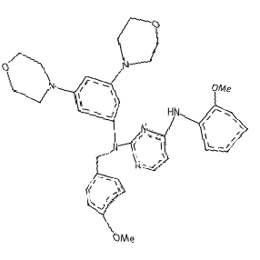 COc1ccc(CN(c2cc(N3CCOCC3)cc(N3CCOCC3)c2)c2nccc(Nc3ccccc3OC)n2)cc1